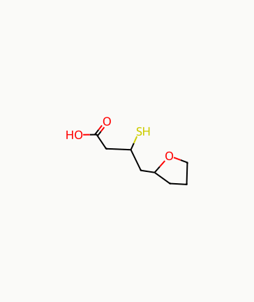 O=C(O)CC(S)CC1CCCO1